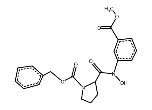 COC(=O)c1cccc(N(O)C(=O)C2CCCN2C(=O)OCc2ccccc2)c1